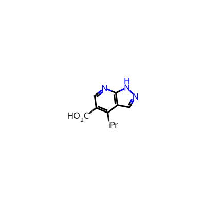 CC(C)c1c(C(=O)O)cnc2[nH]ncc12